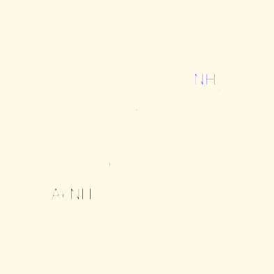 CC(=O)NC12CC(CN)(C1)C2